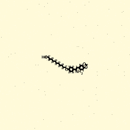 N/C(=C\c1ccc2c(c1)OCO2)c1ccc(OCCCCCCCCCCCO)cc1